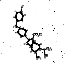 CCOC(=O)c1c(-c2ccc(Oc3ccc(F)cc3)cc2)oc2cc(N)c(C(C)O)cc12